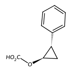 O=C(O)O[C@@H]1C[C@H]1c1ccccc1